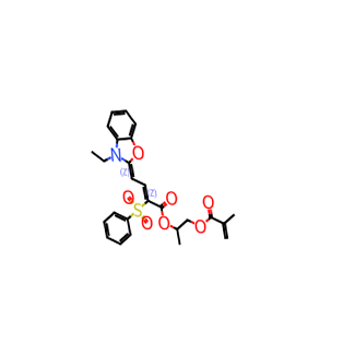 C=C(C)C(=O)OCC(C)OC(=O)/C(=C/C=C1\Oc2ccccc2N1CC)S(=O)(=O)c1ccccc1